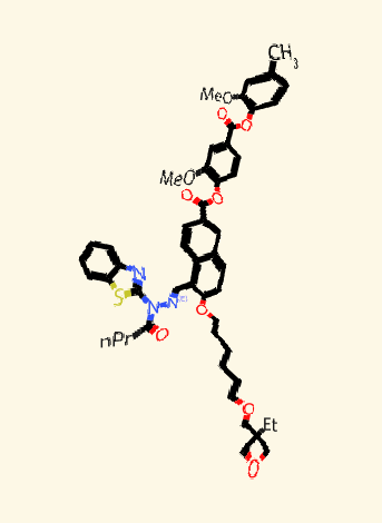 CCCC(=O)N(/N=C/c1c(OCCCCCCOCC2(CC)COC2)ccc2cc(C(=O)Oc3ccc(C(=O)Oc4ccc(C)cc4OC)cc3OC)ccc12)c1nc2ccccc2s1